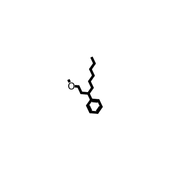 CCCCCCC(CCOC)c1ccccc1